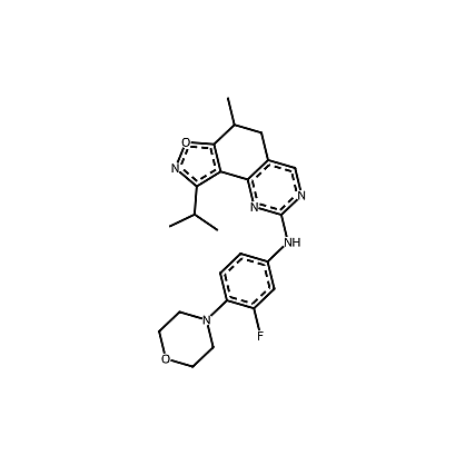 CC(C)c1noc2c1-c1nc(Nc3ccc(N4CCOCC4)c(F)c3)ncc1CC2C